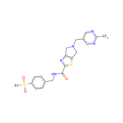 CCS(=O)(=O)c1ccc(CNC(=O)c2nc3c(s2)CN(Cc2cnc(C(F)(F)F)nc2)C3)cc1